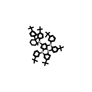 CC(C)(C)c1ccc(C23CCCCC2(C)N(c2cc4c5c(c2)N(c2cccc(C(C)(C)C)c2)c2cc(C(C)(C)C)ccc2B5c2ccc(C(C)(C)C)cc2N4c2cccc(C(C)(C)C)c2)c2ccc(C(C)(C)C)cc23)cc1